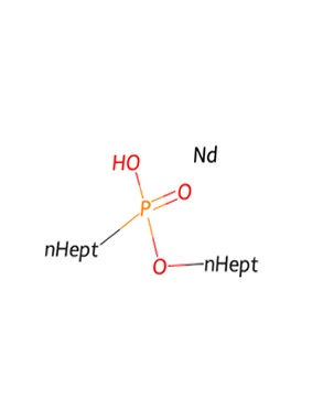 CCCCCCCOP(=O)(O)CCCCCCC.[Nd]